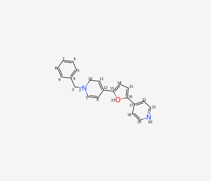 C1=CN(Cc2ccccc2)CC=C1c1ccc(-c2ccncc2)o1